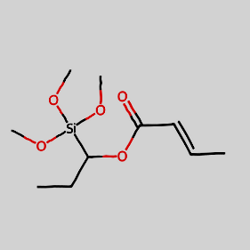 C/C=C/C(=O)OC(CC)[Si](OC)(OC)OC